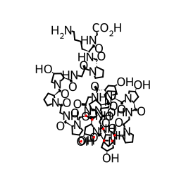 NCCCC[C@H](NC(=O)[C@@H]1CCCN1C(=O)CNC(=O)[C@@H]1C[C@@H](O)CN1C(=O)[C@@H]1CCCN1C(=O)CNC(=O)[C@@H]1C[C@@H](O)CN1C(=O)[C@@H]1CCCN1C(=O)CNC(=O)[C@@H]1C[C@@H](O)CN1C(=O)[C@@H]1CCCN1C(=O)CNC(=O)[C@@H]1C[C@@H](O)CN1C(=O)[C@@H]1CCCN1C(=O)CNC(=O)[C@@H]1C[C@@H](O)CN1C(=O)[C@@H]1CCCN1C(=O)CNC(=O)[C@@H]1C[C@@H](O)CN1C(=O)[C@@H]1CCCN1)C(=O)NCC(=O)O